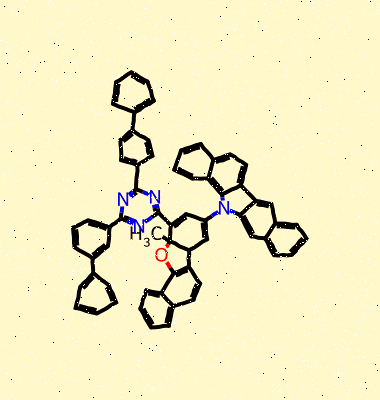 CC12Oc3c(ccc4ccccc34)C1C=C(n1c3cc4ccccc4cc3c3ccc4ccccc4c31)C=C2c1nc(-c2ccc(-c3ccccc3)cc2)nc(-c2cccc(-c3ccccc3)c2)n1